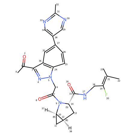 CC(=O)c1nn(CC(=O)N2[C@@H]3C[C@@H]3C[C@H]2C(=O)NCC(F)=C(C)C)c2ccc(-c3cnc(C)nc3)cc12